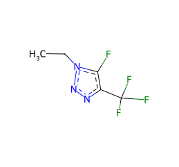 CCn1nnc(C(F)(F)F)c1F